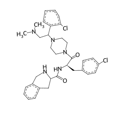 CN(C)CC(c1ccccc1Cl)N1CCN(C(=O)[C@@H](Cc2ccc(Cl)cc2)NC(=O)C2Cc3ccccc3CN2)CC1